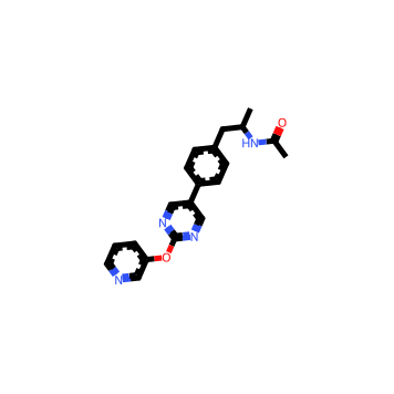 CC(=O)NC(C)Cc1ccc(-c2cnc(Oc3cccnc3)nc2)cc1